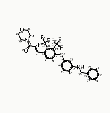 O=C(/C=C/c1ccc(Sc2cccc(NCc3ccccc3)c2)c(C(F)(F)F)c1C(F)(F)F)N1CCOCC1